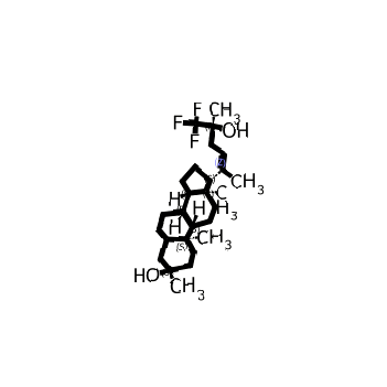 C/C(=C/C[C@@](C)(O)C(F)(F)F)[C@H]1CC[C@H]2[C@@H]3CCC4C[C@@](C)(O)CC[C@]4(C)[C@H]3CC[C@]12C